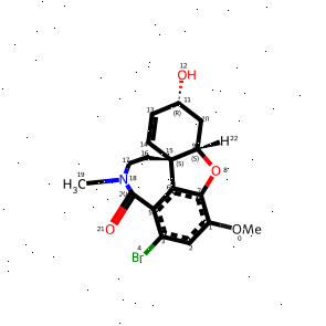 COc1cc(Br)c2c3c1O[C@H]1C[C@@H](O)C=C[C@@]31CCN(C)C2=O